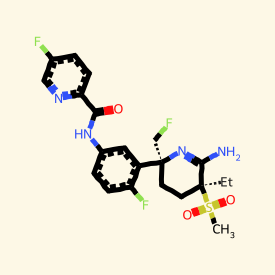 CC[C@]1(S(C)(=O)=O)CC[C@@](CF)(c2cc(NC(=O)c3ccc(F)cn3)ccc2F)N=C1N